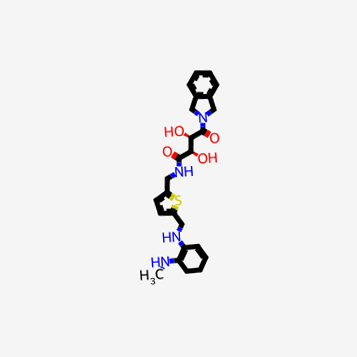 CNC1=C(NCc2ccc(CNC(=O)[C@H](O)[C@@H](O)C(=O)N3Cc4ccccc4C3)s2)C=CCC1